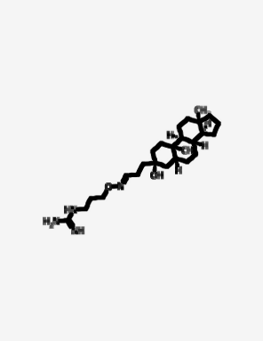 C[C@@]12CCC[C@H]1[C@@H]1CC[C@@H]3C[C@](O)(CCC=NOCCCNC(=N)N)CC[C@]3(C)[C@H]1CC2